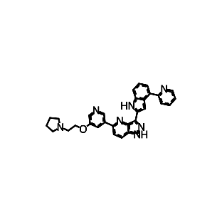 c1ccc(-c2cccc3[nH]c(-c4n[nH]c5ccc(-c6cncc(OCCN7CCCC7)c6)nc45)cc23)nc1